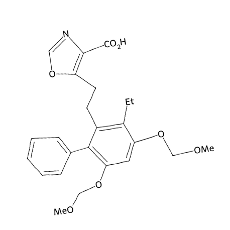 CCc1c(OCOC)cc(OCOC)c(-c2ccccc2)c1CCc1ocnc1C(=O)O